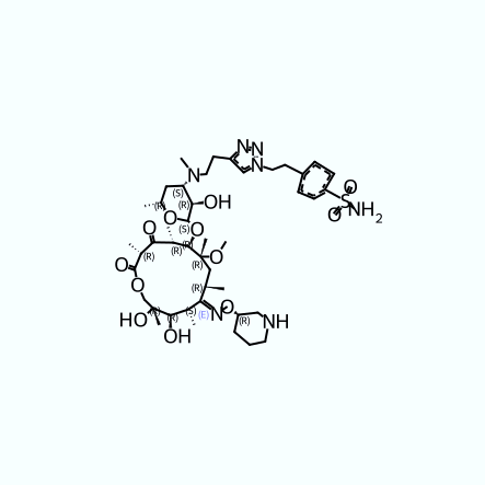 CO[C@]1(C)C[C@@H](C)/C(=N\O[C@@H]2CCCNC2)[C@H](C)[C@@H](O)[C@](C)(O)COC(=O)[C@H](C)C(=O)[C@H](C)[C@H]1O[C@@H]1O[C@H](C)C[C@H](N(C)CCc2cn(CCc3ccc(S(N)(=O)=O)cc3)nn2)[C@H]1O